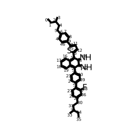 CCC(C)CCc1ccc(-c2ccc(C3=c4ccccc4=C(c4ccc(-c5ccc(CCC(C)CC)cc5F)cc4)C(=N)C3=N)s2)cc1